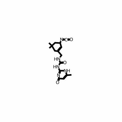 Cc1cc(=O)nc(NC(=O)NCC2=CC(N=C=O)CC(C)(C)C2)[nH]1